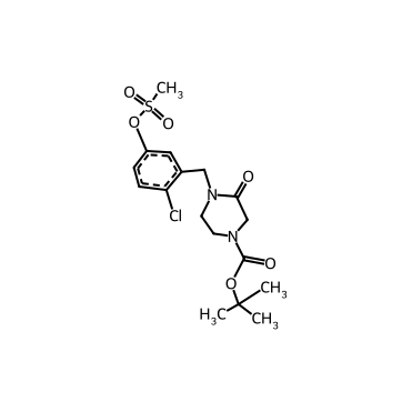 CC(C)(C)OC(=O)N1CCN(Cc2cc(OS(C)(=O)=O)ccc2Cl)C(=O)C1